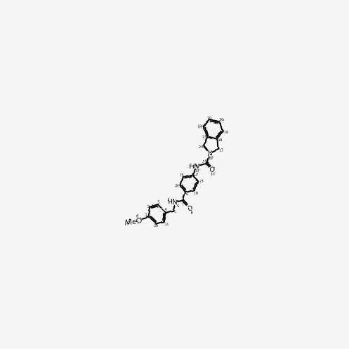 COc1ccc(CNC(=O)c2ccc(NC(=O)N3Cc4ccccc4C3)cc2)cc1